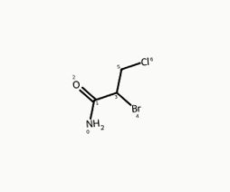 NC(=O)C(Br)CCl